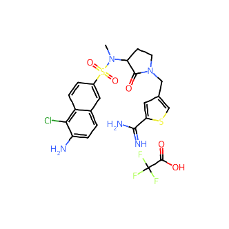 CN(C1CCN(Cc2csc(C(=N)N)c2)C1=O)S(=O)(=O)c1ccc2c(Cl)c(N)ccc2c1.O=C(O)C(F)(F)F